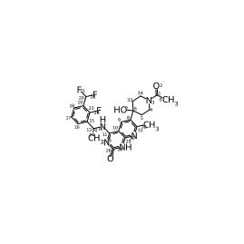 CC(=O)N1CCC(O)(c2cc3c(N[C@H](C)c4cccc(C(F)F)c4F)nc(=O)[nH]c3nc2C)CC1